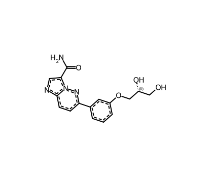 NC(=O)c1cnc2ccc(-c3cccc(OC[C@H](O)CO)c3)nn12